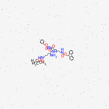 CC(C)(C)OC(=O)NCCCCC(N)C(=O)NC(CCCCNC(=O)OCC1c2ccccc2-c2ccccc21)C(=O)NCC(=O)OCc1ccccc1